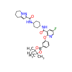 CC1(C)OB(c2cccc(Oc3ncc(F)cc3C(=O)N[C@H]3CC[C@H](NC(=O)c4cc5n(n4)CCCC5)CC3)c2)OC1(C)C